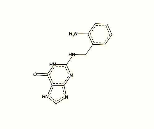 Nc1ccccc1CNc1nc2nc[nH]c2c(=O)[nH]1